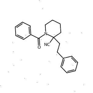 N#CC1(CCc2ccccc2)CCCCN1C(=O)c1ccccc1